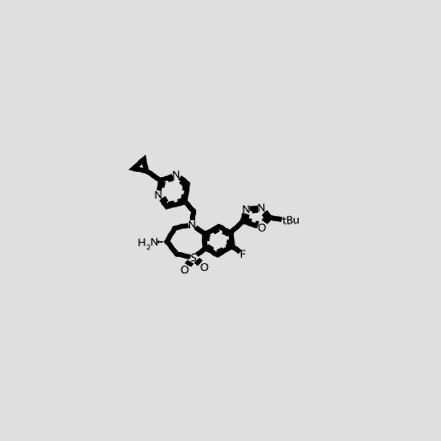 CC(C)(C)c1nnc(-c2cc3c(cc2F)S(=O)(=O)C[C@H](N)CN3Cc2cnc(C3CC3)nc2)o1